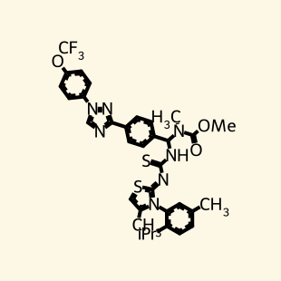 COC(=O)N(C)C(NC(=S)/N=c1\scc(C)n1-c1cc(C)ccc1C(C)C)c1ccc(-c2ncn(-c3ccc(OC(F)(F)F)cc3)n2)cc1